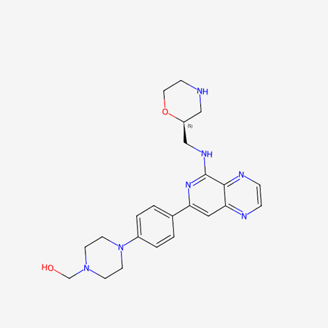 OCN1CCN(c2ccc(-c3cc4nccnc4c(NC[C@@H]4CNCCO4)n3)cc2)CC1